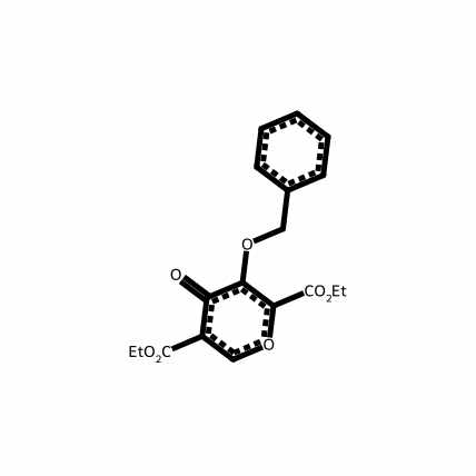 CCOC(=O)c1occ(C(=O)OCC)c(=O)c1OCc1ccccc1